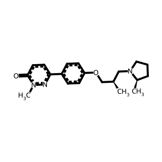 C[C@@H](COc1ccc(-c2ccc(=O)n(C)n2)cc1)CN1CCC[C@H]1C